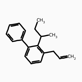 C=CCc1cccc(-c2ccccc2)c1C(C)CC